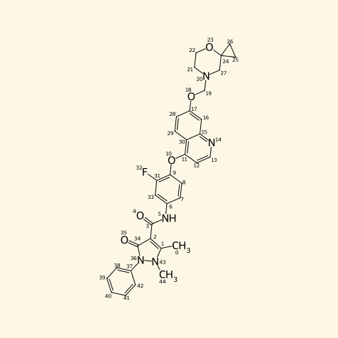 Cc1c(C(=O)Nc2ccc(Oc3ccnc4cc(OCN5CCOC6(CC6)C5)ccc34)c(F)c2)c(=O)n(-c2ccccc2)n1C